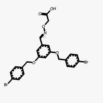 O=C(O)CO/N=C/c1cc(OCc2ccc(Br)cc2)cc(OCc2ccc(Br)cc2)c1